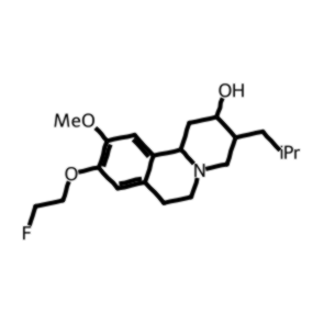 COc1cc2c(cc1OCCF)CCN1CC(CC(C)C)C(O)CC21